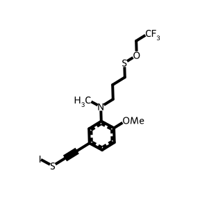 COc1ccc(C#CSI)cc1N(C)CCCSOCC(F)(F)F